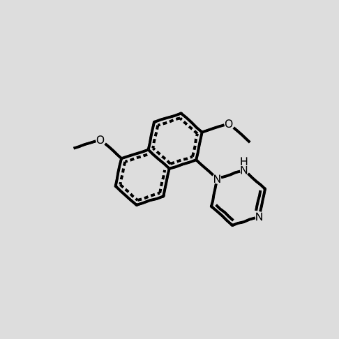 COc1ccc2c(OC)cccc2c1N1C=CN=CN1